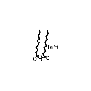 CCCCCCCCCC(=O)[O-].CCCCCCCCCC(=O)[O-].[Te+2]